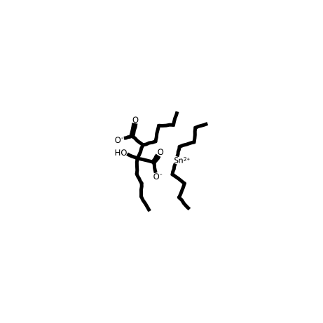 CCCCC(C(=O)[O-])C(O)(CCCC)C(=O)[O-].CCC[CH2][Sn+2][CH2]CCC